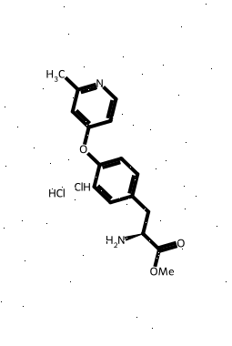 COC(=O)[C@@H](N)Cc1ccc(Oc2ccnc(C)c2)cc1.Cl.Cl